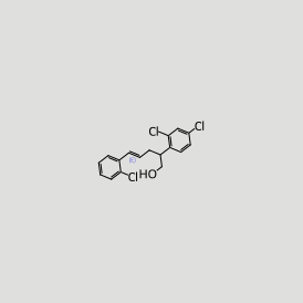 OCC(C/C=C/c1ccccc1Cl)c1ccc(Cl)cc1Cl